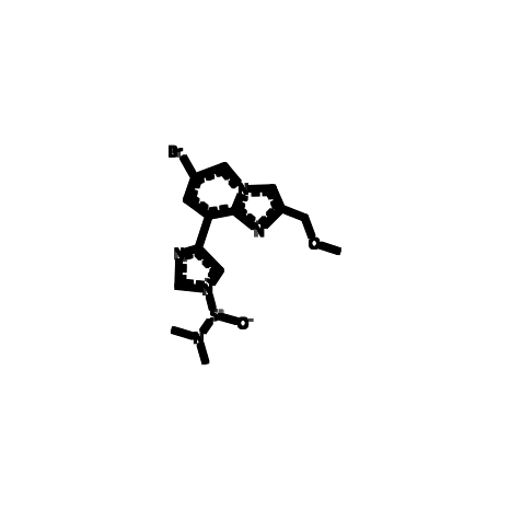 COCc1cn2cc(Br)cc(-c3cn([S+]([O-])N(C)C)cn3)c2n1